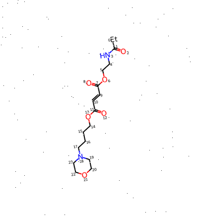 CCC(=O)NCCOC(=O)/C=C/C(=O)OCCCCN1CCOCC1